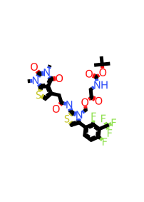 Cn1c(=O)c2c(CC(=O)/N=c3\scc(-c4ccc(F)c(C(F)(F)F)c4F)n3COC(=O)CNC(=O)OC(C)(C)C)csc2n(C)c1=O